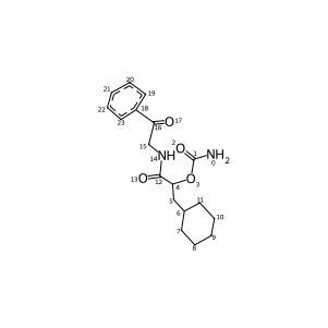 NC(=O)OC(CC1CCCCC1)C(=O)NCC(=O)c1ccccc1